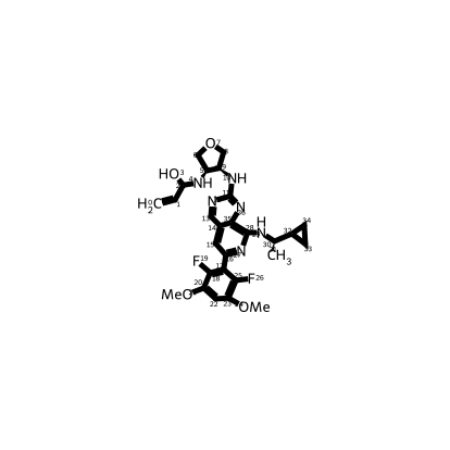 C=CC(O)N[C@H]1COC[C@H]1Nc1ncc2cc(-c3c(F)c(OC)cc(OC)c3F)nc(N[C@@H](C)C3CC3)c2n1